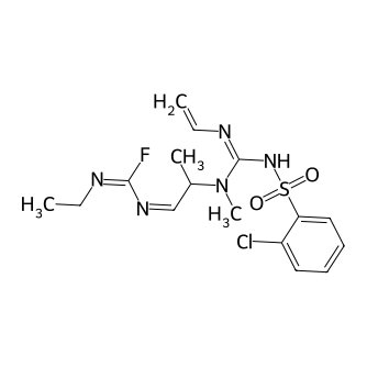 C=C/N=C(/NS(=O)(=O)c1ccccc1Cl)N(C)C(C)/C=N\C(F)=N/CC